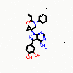 C=CC(=O)N(CC1(n2nc(-c3ccc(O)c(O)c3)c3c(N)ncnc32)CC1)c1ccccc1